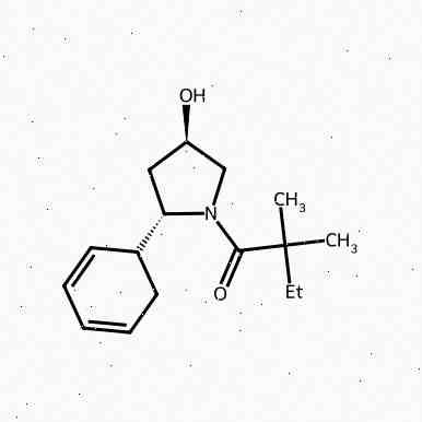 CCC(C)(C)C(=O)N1C[C@H](O)C[C@H]1C1C=CC=CC1